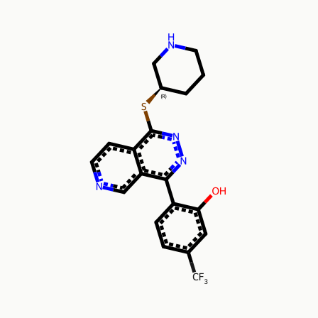 Oc1cc(C(F)(F)F)ccc1-c1nnc(S[C@@H]2CCCNC2)c2ccncc12